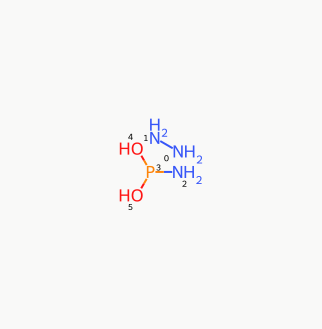 NN.NP(O)O